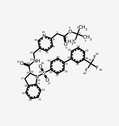 CC(C)(C)OC(=O)Cc1ccc(CNC(=O)[C@@H]2Cc3ccccc3N2S(=O)(=O)c2ccc(-c3cccc(C(F)(F)F)c3)cc2)cn1